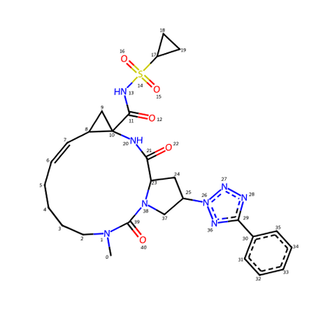 CN1CCCC/C=C\C2CC2(C(=O)NS(=O)(=O)C2CC2)NC(=O)C2CC(n3nnc(-c4ccccc4)n3)CN2C1=O